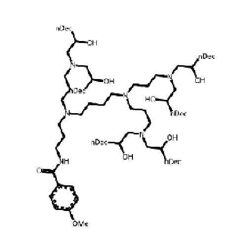 CCCCCCCCCCC(O)CN(CCCN(CCCCN(CCCN(CC(O)CCCCCCCCCC)CC(O)CCCCCCCCCC)CCCN(CC(O)CCCCCCCCCC)CC(O)CCCCCCCCCC)CCCNC(=O)c1ccc(OC)cc1)CC(O)CCCCCCCCCC